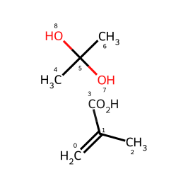 C=C(C)C(=O)O.CC(C)(O)O